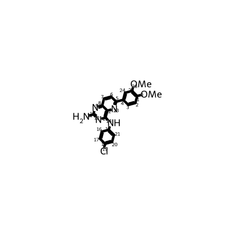 COc1ccc(-c2ccc3nc(N)nc(Nc4ccc(Cl)cc4)c3n2)cc1OC